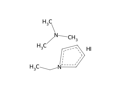 CCn1cccc1.CN(C)C.I